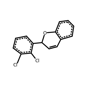 Clc1cccc(C2C=Cc3ccccc3O2)c1Cl